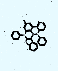 Cc1cc2c3c(c1)N(c1ccccc1)c1oc4ccccc4c1B3N(c1ccccc1)c1ccccc1-2